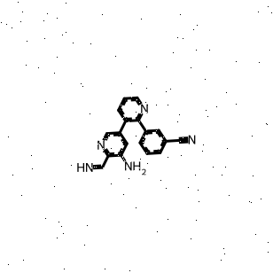 N#Cc1cccc(-c2ncccc2-c2cnc(C=N)c(N)c2)c1